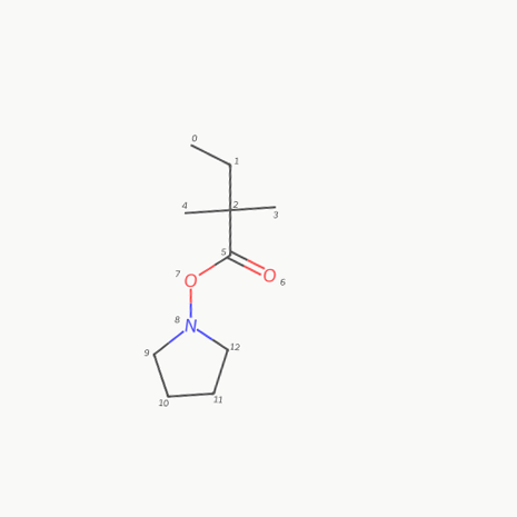 CCC(C)(C)C(=O)ON1CCCC1